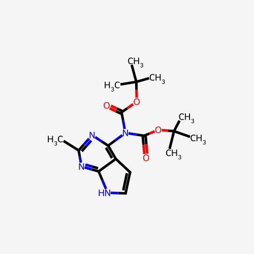 Cc1nc(N(C(=O)OC(C)(C)C)C(=O)OC(C)(C)C)c2cc[nH]c2n1